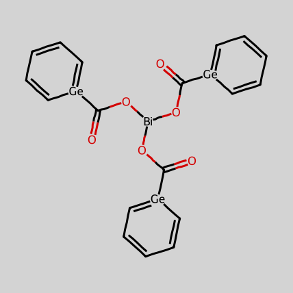 O=[C]([O][Bi]([O][C](=O)[Ge]1=[CH]C=CC=[CH]1)[O][C](=O)[Ge]1=[CH]C=CC=[CH]1)[Ge]1=[CH]C=CC=[CH]1